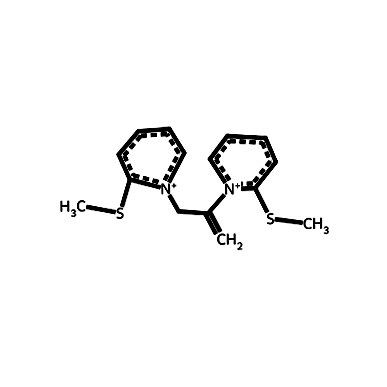 C=C(C[n+]1ccccc1SC)[n+]1ccccc1SC